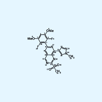 COc1cc(OC)c(F)c(-c2cc3cnc(S(C)(=O)=O)nc3c(-c3cnn(C)c3)n2)c1F